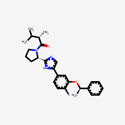 CC(C)[C@H](C)C(=O)N1CCC[C@H]1c1ncc(-c2ccc(I)c(O[C@H](C)c3ccccc3)c2)[nH]1